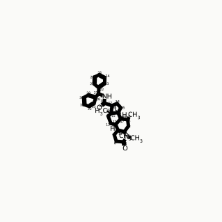 CC1CC2N(C)C(=O)CC[C@]2(C)[C@@H]2CC[C@]3(C)C(C(=O)NC(c4ccccc4)c4ccccc4)CC[C@H]3[C@H]12